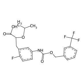 CC(C)OC(Cc1cc(NC(=O)OCc2cccc(C(F)(F)F)c2)ccc1F)C(=O)O